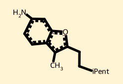 CCCC(C)CCc1oc2cc(N)ccc2c1C